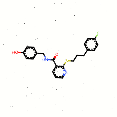 O=C(NCc1ccc(O)cc1)c1cccnc1SCCCc1ccc(F)cc1